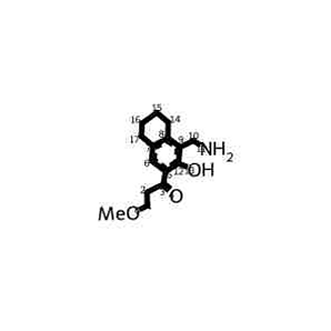 COCCC(=O)c1cc2c(c(CN)c1O)CCCC2